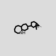 C[C@H]1C2CCC(C3CCC4CCCCCNC4CC3)CC21C